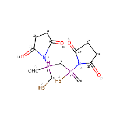 C=P(S)(C[PH](C=O)(CS)N1C(=O)CCC1=O)N1C(=O)CCC1=O